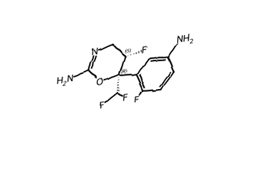 NC1=NC[C@H](F)[C@](c2cc(N)ccc2F)(C(F)F)O1